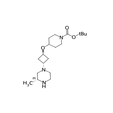 C[C@@H]1CN([C@H]2C[C@H](OC3CCN(C(=O)OC(C)(C)C)CC3)C2)CCN1